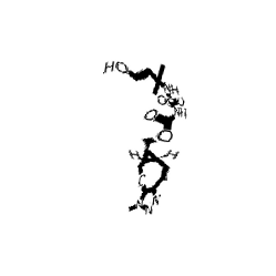 CN1N=NC2CC[C@H]3[C@@H](CCC21)[C@H]3COC(=O)NS(=O)(=O)NC(C)(C)CCO